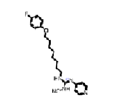 N#CN/C(=N\c1ccncc1)NCCCCCCCCOc1ccc(F)cc1